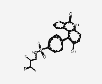 O=c1[nH]c2ccc(O)c(-c3ccc(S(=O)(=O)NCC(F)C(F)F)cc3)c2c2ccsc12